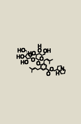 CC(C)=CCc1cc(C(=O)OCC2CCN3CCC[C@H]23)cc(CC=C(C)C)c1O[C@H]1O[C@H](CO)[C@@H](O)[C@H](O)[C@H]1OC1O[C@@H](CO)[C@H](O)[C@H]1O